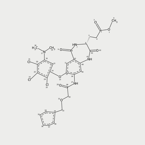 COC(=O)CC[C@H]1NC(=O)c2cc(Oc3cc(N(C)C)c(Cl)c(Cl)c3Cl)c(NC(=O)COCc3ccccc3)cc2NC1=O